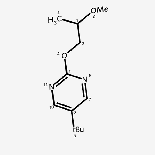 COC(C)COc1ncc(C(C)(C)C)cn1